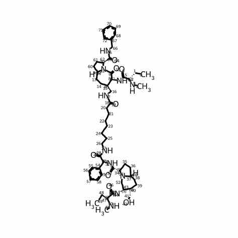 CC[C@H](NC)C(=O)N[C@@H]1C(=O)N2[C@@H](CC[C@@H]1CNC(=O)CCCCCCCNC(=O)[C@@H](NC(=O)[C@@H]1CC[C@@H]3CC[C@H](CO)[C@H](NC(=O)[C@H](CC)NC)CN31)c1ccccc1)CC[C@H]2C(=O)NCc1ccccc1